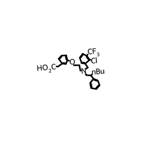 CCCCC(CN(CCCOc1cccc(CC(=O)O)c1)Cc1cccc(C(F)(F)F)c1Cl)c1ccccc1